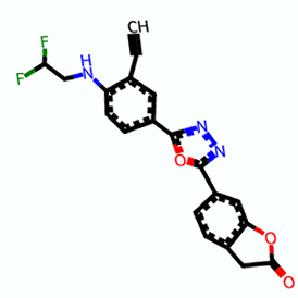 C#Cc1cc(-c2nnc(-c3ccc4c(c3)OC(=O)C4)o2)ccc1NCC(F)F